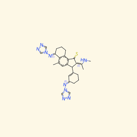 CN/C(C)=C1\C(=S)c2c(cc(C)c3c2CCC/C3=N\n2cnnc2)C1C1=C/C(=N/n2cnnc2)CCC1